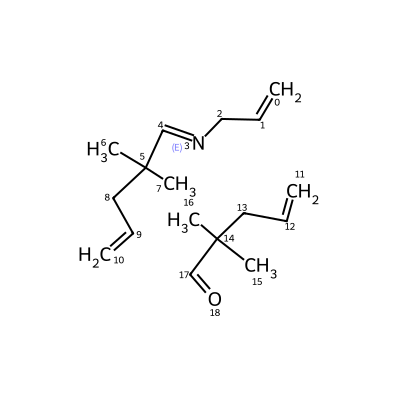 C=CC/N=C/C(C)(C)CC=C.C=CCC(C)(C)C=O